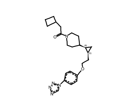 O=C(CC1CCC1)N1CCC([C@H]2C[C@H]2CCOc2ccc(-n3cnnn3)cc2)CC1